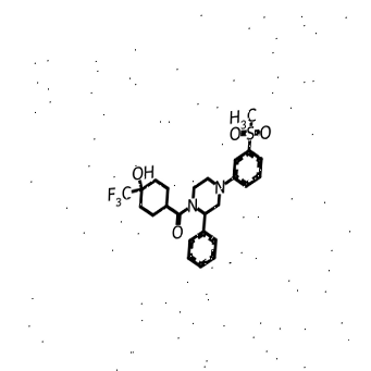 CS(=O)(=O)c1cccc(N2CCN(C(=O)C3CCC(O)(C(F)(F)F)CC3)C(c3ccccc3)C2)c1